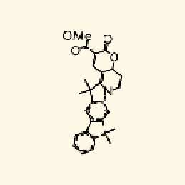 COC(=O)C1=CC2=C3N(CCC2OC1=O)c1cc2c(cc1C3(C)C)-c1ccccc1C2(C)C